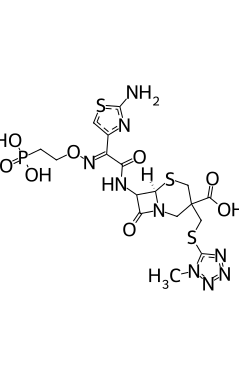 Cn1nnnc1SCC1(C(=O)O)CS[C@@H]2C(NC(=O)C(=NOCCP(=O)(O)O)c3csc(N)n3)C(=O)N2C1